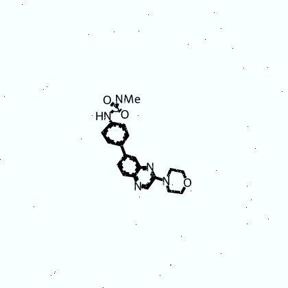 CNS(=O)(=O)Nc1ccc(-c2ccc3ncc(N4CCOCC4)nc3c2)cc1